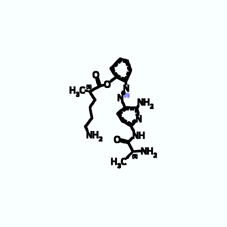 C[C@H](N)C(=O)Nc1ccc(/N=N/c2ccccc2OC(=O)[C@@H](C)CCCCN)c(N)n1